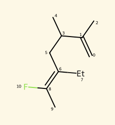 C=C(C)C(C)C/C(CC)=C(/C)F